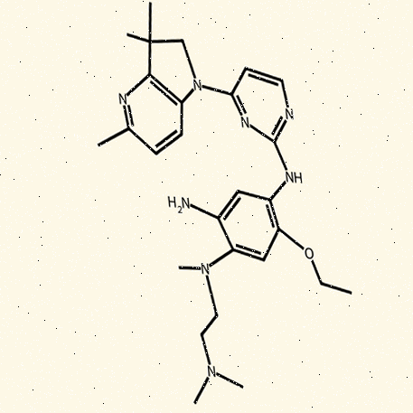 CCOc1cc(N(C)CCN(C)C)c(N)cc1Nc1nccc(N2CC(C)(C)c3nc(C)ccc32)n1